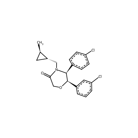 C[C@@H]1C[C@H]1CN1C(=O)CO[C@H](c2cccc(Cl)c2)[C@@H]1c1ccc(Cl)cc1